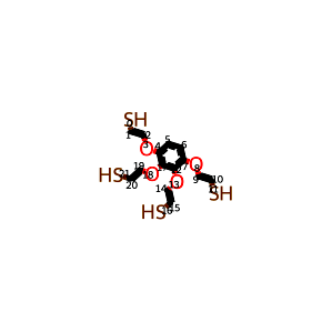 SC=COc1ccc(OC=CS)c(OC=CS)c1OC=CS